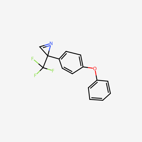 FC(F)(F)C1(c2ccc(Oc3ccccc3)cc2)C=N1